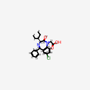 CCC(CC)[C@@H]1N=C(c2ccccc2)c2cc(Cl)ccc2N(CC(=O)O)C1=O